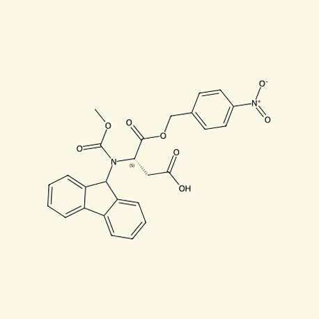 COC(=O)N(C1c2ccccc2-c2ccccc21)[C@@H](CC(=O)O)C(=O)OCc1ccc([N+](=O)[O-])cc1